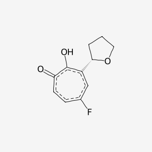 O=c1ccc(F)cc([C@@H]2CCCO2)c1O